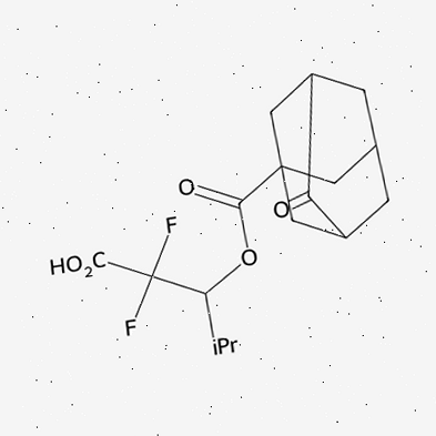 CC(C)C(OC(=O)C12CC3CC(C1)C(=O)C(C3)C2)C(F)(F)C(=O)O